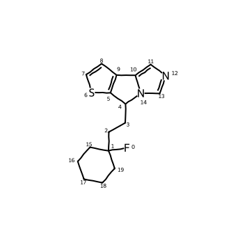 FC1(CCC2c3sccc3-c3cncn32)CCCCC1